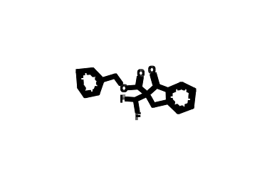 O=C(OCc1ccccc1)C1(C(F)F)Cc2ccccc2C1=O